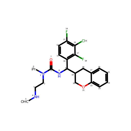 CC(C)N(CCNC=O)C(=O)NC(c1ccc(F)c(Cl)c1F)C1COc2ccccc2C1